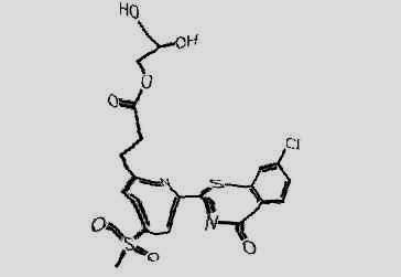 CS(=O)(=O)c1cc(CCC(=O)OCC(O)O)nc(-c2nc(=O)c3ccc(Cl)cc3s2)c1